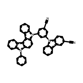 N#Cc1cc(-n2c3ccccc3c3cc(C#N)ccc32)cc(-n2c3ccccc3c3c4c5ccccc5n(-c5ccccc5)c4ccc32)c1